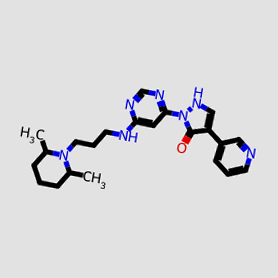 CC1CCCC(C)N1CCCNc1cc(-n2[nH]cc(-c3cccnc3)c2=O)ncn1